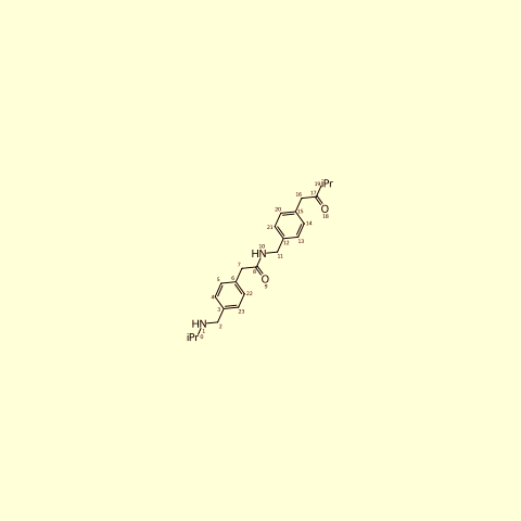 CC(C)NCc1ccc(CC(=O)NCc2ccc(CC(=O)C(C)C)cc2)cc1